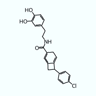 O=C(NCCc1ccc(O)c(O)c1)C1=C=C2CC(c3ccc(Cl)cc3)C2=CC1